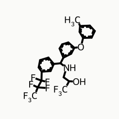 Cc1cccc(Oc2cccc(C(NCC(O)C(F)(F)F)c3cccc(C(F)(F)C(F)(F)C(F)(F)F)c3)c2)c1